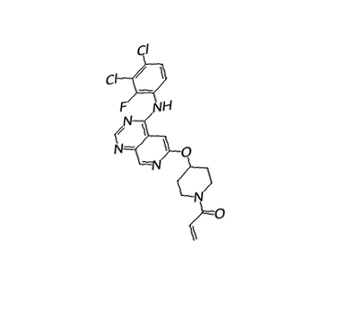 C=CC(=O)N1CCC(Oc2cc3c(Nc4ccc(Cl)c(Cl)c4F)ncnc3cn2)CC1